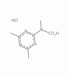 Cc1cc(C)nc(N(C)C(=O)O)n1.Cl